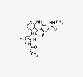 C=CC(=O)N1C[C@@H]2C[C@H]1[C@@H](n1nc(-c3ccc(C(=O)NC)cc3F)c3c(N)ncnc31)C2